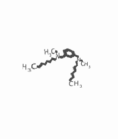 CCCCCCCCN(CC)Cc1cccc(CN(CC)CCCCCCCC)c1